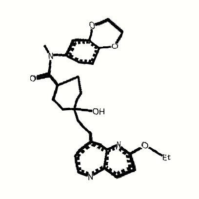 CCOc1ccc2nccc(CCC3(O)CCC(C(=O)N(C)c4ccc5c(c4)OCCO5)CC3)c2n1